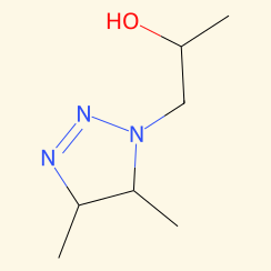 CC(O)CN1N=NC(C)C1C